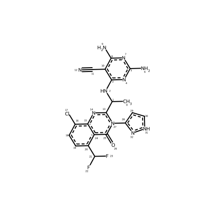 CC(Nc1nc(N)nc(N)c1C#N)c1nc2c(Cl)ccc(C(F)F)c2c(=O)n1-c1cc[nH]n1